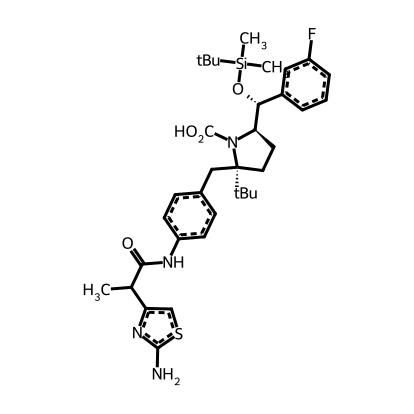 CC(C(=O)Nc1ccc(C[C@]2(C(C)(C)C)CC[C@H]([C@H](O[Si](C)(C)C(C)(C)C)c3cccc(F)c3)N2C(=O)O)cc1)c1csc(N)n1